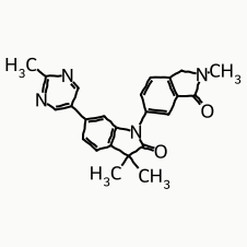 Cc1ncc(-c2ccc3c(c2)N(c2ccc4c(c2)C(=O)N(C)C4)C(=O)C3(C)C)cn1